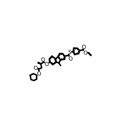 C=COC(=O)c1ccc(SC(=O)c2ccc3c(c2)C(C)c2cc(OC(=O)C(=C)CC(=O)OC4CCCCC4)ccc2-3)cc1